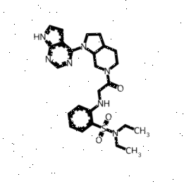 CCN(CC)S(=O)(=O)c1ccccc1NCC(=O)N1CCC2CCN(c3ncnc4[nH]ccc34)C2C1